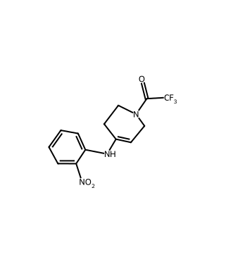 O=C(N1CC=C(Nc2ccccc2[N+](=O)[O-])CC1)C(F)(F)F